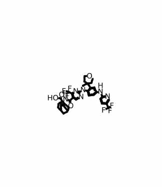 O=C(NC1(C(=O)O)C2CC3CC(C2)CC1C3)c1cnc(N2CC3(CCOCC3)c3cc(Nc4ccc(C(F)(F)F)cn4)ccc32)nc1C(F)(F)F